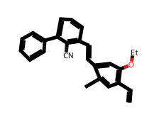 C=Cc1cc(C)c(/C=C/c2cccc(-c3ccccc3)c2C#N)cc1OCC